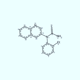 CCc1ccccc1N(C(N)=S)c1cnc2ccccc2c1